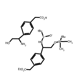 CCOC(=O)Cc1ccc(C(CO[Si](C)(C)C(C)(C)C)N[S+]([O-])C(C)(C)C)cc1.NC(CO)c1ccc(CC(=O)O)cc1